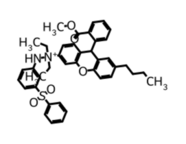 CCCCc1ccc2c(c1)C(c1ccccc1C(=O)OC)c1ccc([N+](CC)(CC)Nc3cccc(S(=O)(=O)c4ccccc4)c3)cc1O2